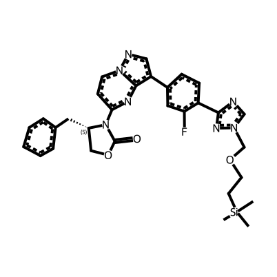 C[Si](C)(C)CCOCn1cnc(-c2ccc(-c3cnn4ccc(N5C(=O)OC[C@@H]5Cc5ccccc5)nc34)cc2F)n1